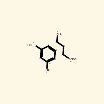 CCCCCCCCCCCCN.O=C(O)c1cccc(O)c1